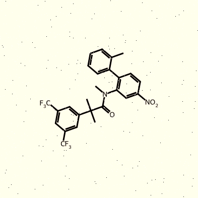 Cc1ccccc1-c1ccc([N+](=O)[O-])cc1N(C)C(=O)C(C)(C)c1cc(C(F)(F)F)cc(C(F)(F)F)c1